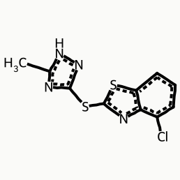 Cc1nc(Sc2nc3c(Cl)cccc3s2)n[nH]1